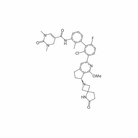 COc1nc(-c2ccc(F)c(-c3cccc(NC(=O)C4=CN(C)C(=O)N(C)C4)c3C)c2Cl)cc2c1[C@@H](N1CC3(CCC(=O)N3)C1)CC2